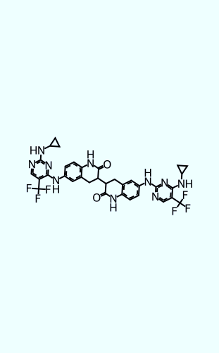 O=C1Nc2ccc(Nc3ncc(C(F)(F)F)c(NC4CC4)n3)cc2CC1C1Cc2cc(Nc3nc(NC4CC4)ncc3C(F)(F)F)ccc2NC1=O